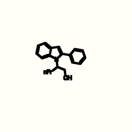 CCCC(CO)n1c(-c2ccccc2)cc2ccccc21